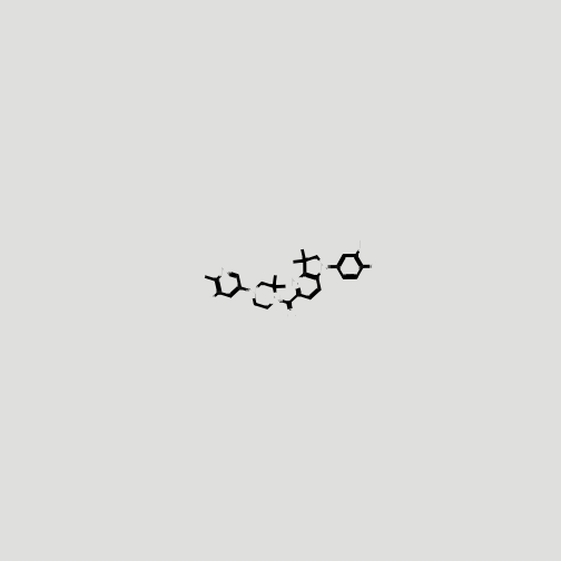 Cc1ncc(N2CCN(C(=O)c3ccc4c(n3)C(C)(C)CN4c3ccc(Cl)c(F)c3)C(C)(C)C2)cc1C(=O)O